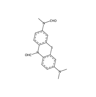 CN(C)c1ccc2c(c1)Sc1cc(N(C)C=O)ccc1N2C=O